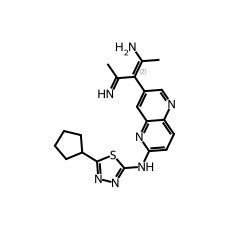 CC(=N)/C(=C(/C)N)c1cnc2ccc(Nc3nnc(C4CCCC4)s3)nc2c1